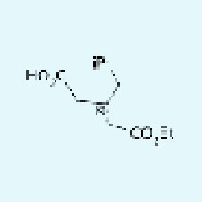 CCOC(=O)C[C@H](CC(=O)O)CC(C)C